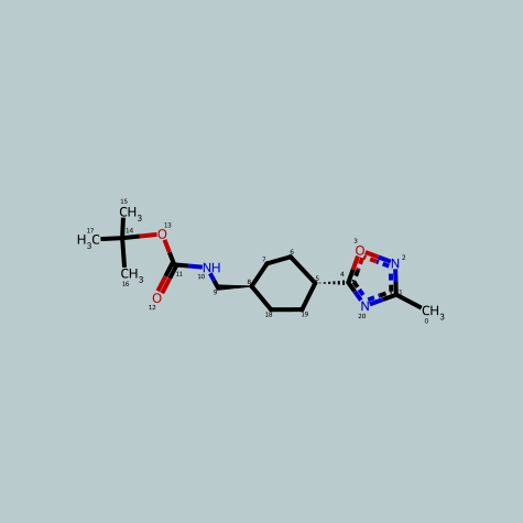 Cc1noc([C@H]2CC[C@H](CNC(=O)OC(C)(C)C)CC2)n1